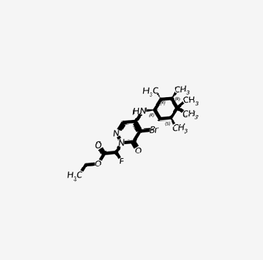 CCOC(=O)C(F)n1ncc(N[C@@H]2C[C@H](C)C(C)(C)[C@H](C)[C@H]2C)c(Br)c1=O